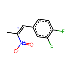 C/C(=C/c1ccc(F)c(F)c1)[N+](=O)[O-]